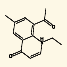 CC[SH]1C=CC(=O)c2cc(C)cc(C(C)=O)c21